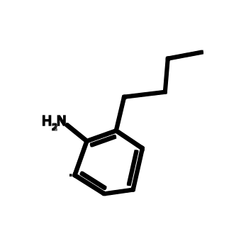 CCCCc1ccc[c]c1N